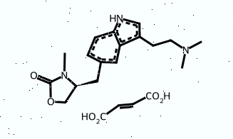 CN(C)CCc1c[nH]c2ccc(C[C@H]3COC(=O)N3C)cc12.O=C(O)C=CC(=O)O